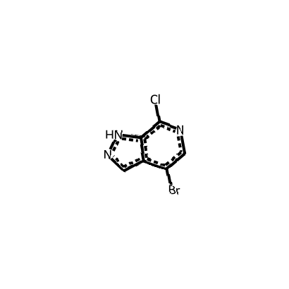 Clc1ncc(Br)c2cn[nH]c12